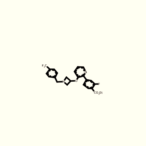 CCOC(=O)c1ccc(-c2ncccc2OC2CN(Cc3ccc(C(F)(F)F)cc3)C2)cc1F